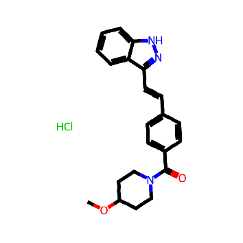 COC1CCN(C(=O)c2ccc(C=Cc3n[nH]c4ccccc34)cc2)CC1.Cl